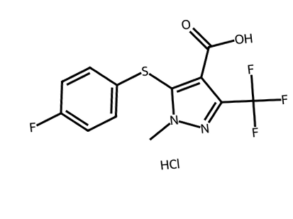 Cl.Cn1nc(C(F)(F)F)c(C(=O)O)c1Sc1ccc(F)cc1